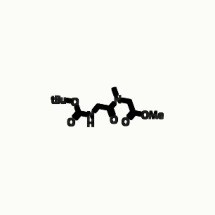 COC(=O)CN(C)C(=O)CNC(=O)OC(C)(C)C